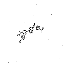 Cc1cc(C#N)nn1-c1nc(-n2cnc3cc(Nc4ccc(C(F)F)nn4)ccc32)ccc1C(C)O